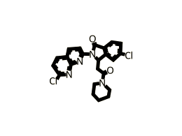 O=C(CC1c2cc(Cl)ccc2C(=O)N1c1ccc2ccc(Cl)nc2n1)N1CCCCC1